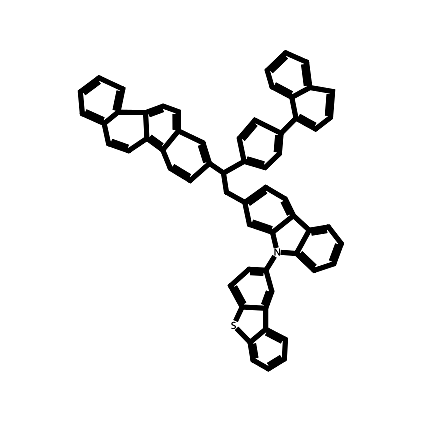 c1ccc2c(-c3ccc(C(Cc4ccc5c6ccccc6n(-c6ccc7sc8ccccc8c7c6)c5c4)c4ccc5c(ccc6c7ccccc7ccc56)c4)cc3)cccc2c1